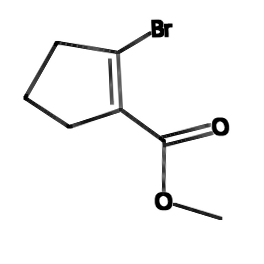 COC(=O)C1=C(Br)CCC1